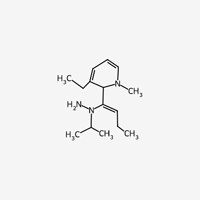 CC/C=C(/C1C(CC)=CC=CN1C)N(N)C(C)C